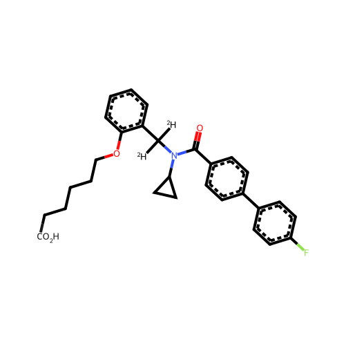 [2H]C([2H])(c1ccccc1OCCCCCC(=O)O)N(C(=O)c1ccc(-c2ccc(F)cc2)cc1)C1CC1